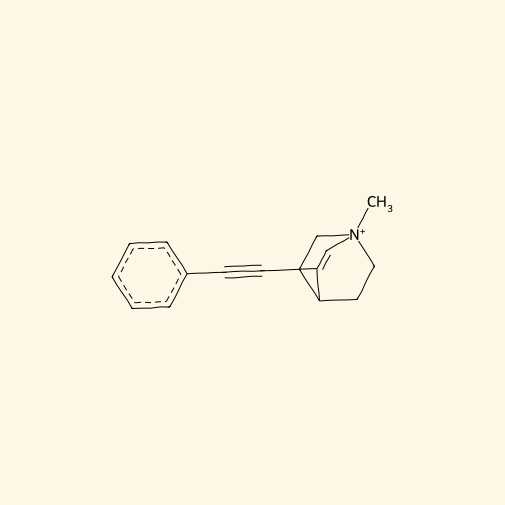 C[N+]12C=C(C#Cc3ccccc3)C(CC1)CC2